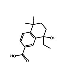 CCC1(O)CCC(C)(C)c2ccc(C(=O)O)cc21